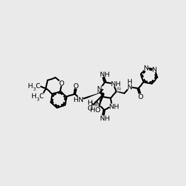 CC1(C)CCOc2c(C(=O)N[C@H]3CN4C(=N)N[C@@H](CNC(=O)c5ccnnc5)C5NC(=N)NC54C3(O)O)cccc21